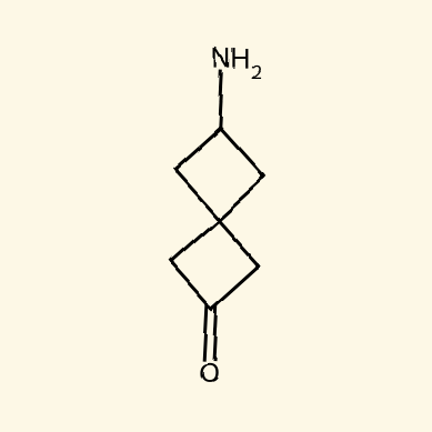 NC1CC2(CC(=O)C2)C1